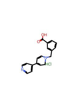 Cl.O=C(O)c1cccc(CN2C=CC(c3ccncc3)=CC2)c1